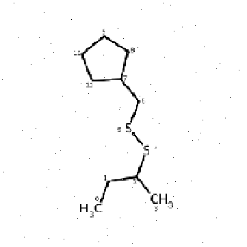 CCC(C)SSCC1CCCC1